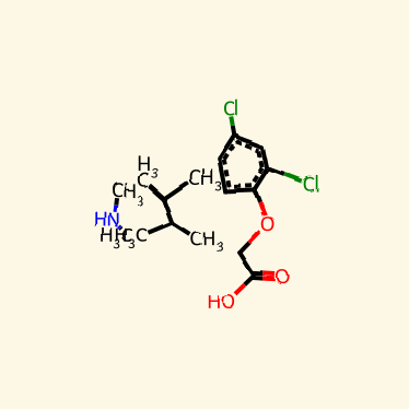 CC(C)C(C)C.CNC.O=C(O)COc1ccc(Cl)cc1Cl